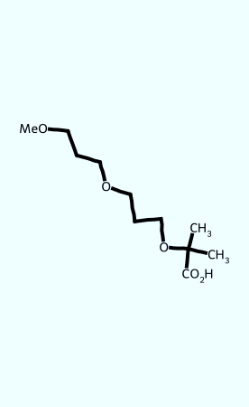 COCCCOCCCOC(C)(C)C(=O)O